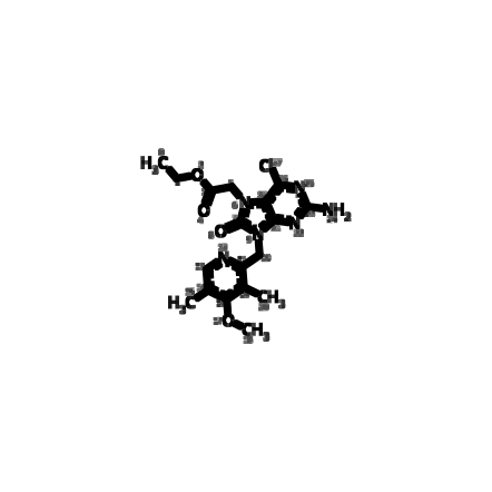 CCOC(=O)Cn1c(=O)n(Cc2ncc(C)c(OC)c2C)c2nc(N)nc(Cl)c21